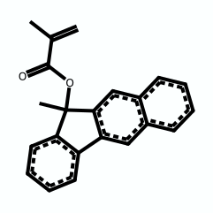 C=C(C)C(=O)OC1(C)c2ccccc2-c2cc3ccccc3cc21